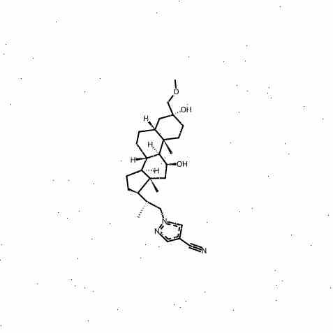 COC[C@@]1(O)CC[C@@]2(C)[C@H](CC[C@@H]3[C@@H]2[C@@H](O)C[C@]2(C)[C@@H]([C@@H](C)Cn4cc(C#N)cn4)CC[C@@H]32)C1